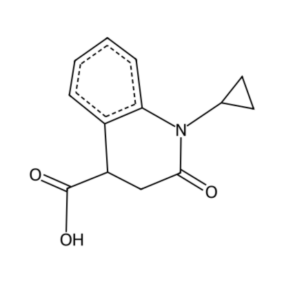 O=C(O)C1CC(=O)N(C2CC2)c2ccccc21